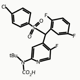 CC(C)(C)N(C(=O)O)c1cc(C(c2cc(F)ccc2F)S(=O)(=O)c2ccc(Cl)cc2)c(F)cn1